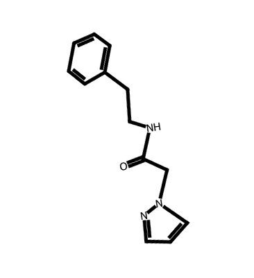 O=C(Cn1cccn1)NCCc1ccccc1